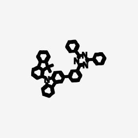 CC1(C)c2ccccc2-c2cccc(-n3c4ccccc4c4cc(-c5cccc(-c6nc(-c7ccccc7)nc(-c7ccccc7)n6)c5)ccc43)c21